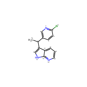 CC(c1ccc(Br)nc1)c1c[nH]c2ncccc12